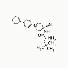 CC(C)(C)CC(N)C(=O)NC1(C#N)CCN(c2ccc(-c3ccccc3)cc2)CC1